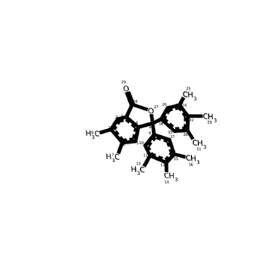 Cc1cc2c(cc1C)C(c1cc(C)c(C)c(C)c1)(c1cc(C)c(C)c(C)c1)OC2=O